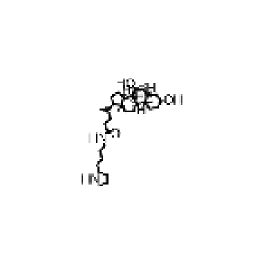 C[C@H]1[C@@H](O)[C@@H]2[C@H](CC[C@]3(C)C([C@H](C)CCC(=O)NCCCCC4CCCN4)CC[C@@H]23)[C@@]2(C)CC[C@@H](O)C[C@@H]12